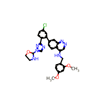 COc1ccc(CNc2cnnc3cc(-c4cc(Cl)ccc4-c4ncn(C5NCCO5)n4)ccc23)c(OC)c1